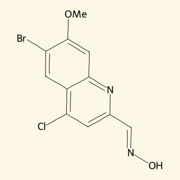 COc1cc2nc(C=NO)cc(Cl)c2cc1Br